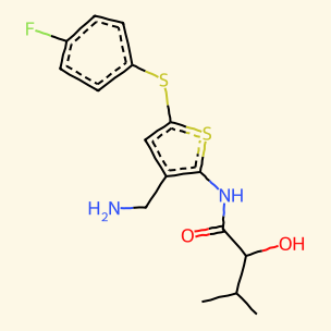 CC(C)C(O)C(=O)Nc1sc(Sc2ccc(F)cc2)cc1CN